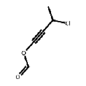 CC(Cl)C#CO[C]=O